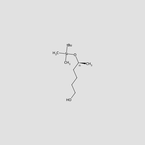 C[C@@H](CCCCO)O[Si](C)(C)C(C)(C)C